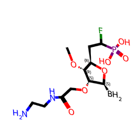 B[C@@H]1O[C@H](CC(F)P(=O)(O)O)[C@@H](OC)[C@H]1OCC(=O)NCCN